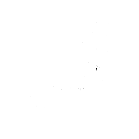 Cc1ccc(F)c2c1NC(C(=O)N[C@@H]1CCC[C@H](N3CCN(C4CCOC4)C(=O)C3)C1)C2